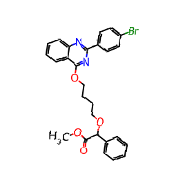 COC(=O)C(OCCCCOc1nc(-c2ccc(Br)cc2)nc2ccccc12)c1ccccc1